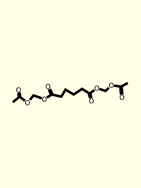 CC(=O)OCOC(=O)CCCCC(=O)OCOC(C)=O